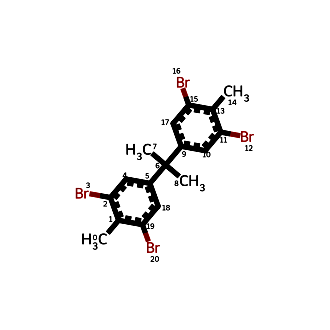 Cc1c(Br)cc(C(C)(C)c2cc(Br)c(C)c(Br)c2)cc1Br